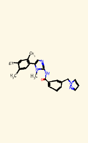 CCc1cc(C)c(-c2cnc(NC(=O)c3cccc(Cn4cccn4)c3)n2C)cc1C